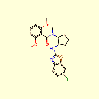 COc1cccc(OC)c1C(=O)N(C)[C@H]1CCC[C@H]1Nc1nc2ccc(F)cc2s1